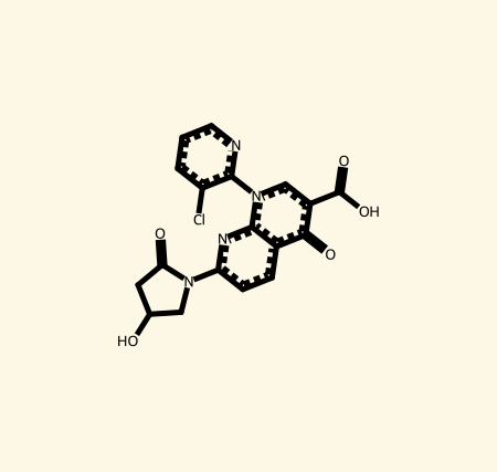 O=C(O)c1cn(-c2ncccc2Cl)c2nc(N3CC(O)CC3=O)ccc2c1=O